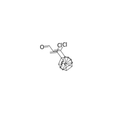 C=C(Cl)[C]12[CH]3[CH]4[CH]5[CH]1[Fe]45321678[CH]2[CH]1[CH]6[C]7(C(Cl)=CC=O)[CH]28